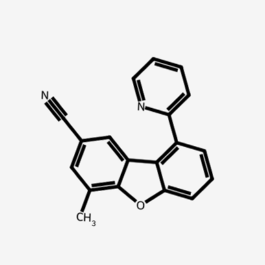 Cc1cc(C#N)cc2c1oc1cccc(-c3ccccn3)c12